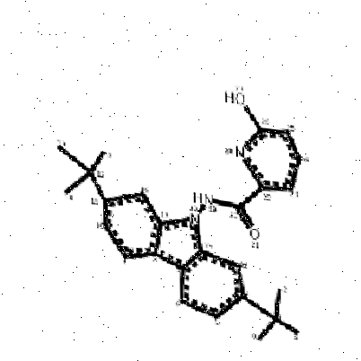 CC(C)(C)c1ccc2c3ccc(C(C)(C)C)cc3n(NC(=O)c3cccc(O)n3)c2c1